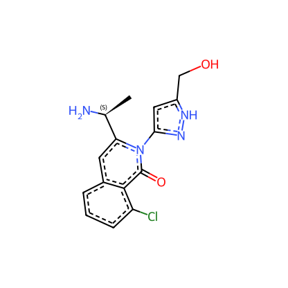 C[C@H](N)c1cc2cccc(Cl)c2c(=O)n1-c1cc(CO)[nH]n1